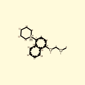 COCOc1ccc([SH]2CCCCC2)c2ccccc12